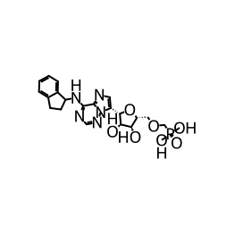 O=P(O)(O)COC[C@H]1O[C@@H](c2cnc3c(NC4CCc5ccccc54)ncnn23)[C@H](O)[C@@H]1O